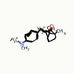 CN(C)c1ccc(C=C2C(=O)C3(C)CCC2C3(C)C)cc1